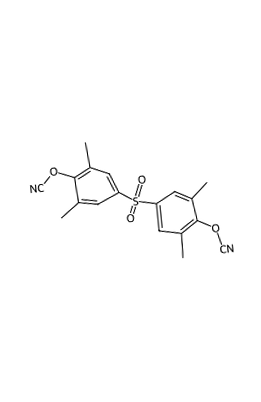 Cc1cc(S(=O)(=O)c2cc(C)c(OC#N)c(C)c2)cc(C)c1OC#N